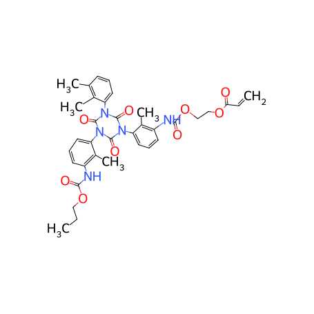 C=CC(=O)OCCOC(=O)Nc1cccc(-n2c(=O)n(-c3cccc(C)c3C)c(=O)n(-c3cccc(NC(=O)OCCC)c3C)c2=O)c1C